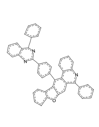 c1ccc(-c2nc(-c3ccc(-c4c5c(cc6c(-c7ccccc7)nc7ccccc7c46)oc4ccccc45)cc3)nc3ccccc23)cc1